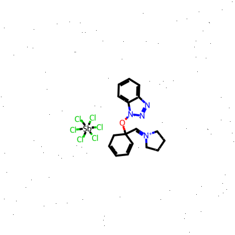 C1=CCC(C=[N+]2CCCC2)(On2nnc3ccccc32)C=C1.[Cl][Sb-]([Cl])([Cl])([Cl])([Cl])[Cl]